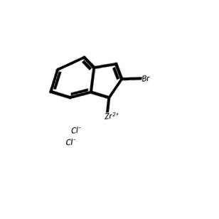 BrC1=Cc2ccccc2[CH]1[Zr+2].[Cl-].[Cl-]